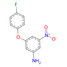 Nc1cc(Oc2ccc(F)cc2)cc([N+](=O)[O-])c1